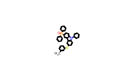 Cc1cccc(Sc2ccc3c(c2)c2cc(P(=O)(c4ccccc4)c4ccccc4)ccc2n3-c2ccccc2)c1